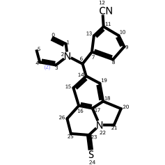 C=CN(/C=C\C)C(c1cccc(C#N)c1)c1cc2c3c(c1)CCN3C(=S)CC2